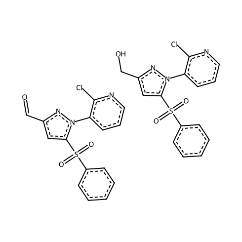 O=Cc1cc(S(=O)(=O)c2ccccc2)n(-c2cccnc2Cl)n1.O=S(=O)(c1ccccc1)c1cc(CO)nn1-c1cccnc1Cl